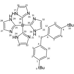 CC(C)(C)c1ccc([I+]c2ccc(C(C)(C)C)cc2)cc1.c1c[nH]c([B-](c2ncc[nH]2)(c2ncc[nH]2)c2ncc[nH]2)n1